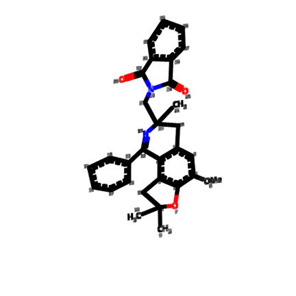 COc1cc2c(c3c1OC(C)(C)C3)C(c1ccccc1)=NC(C)(CN1C(=O)c3ccccc3C1=O)C2